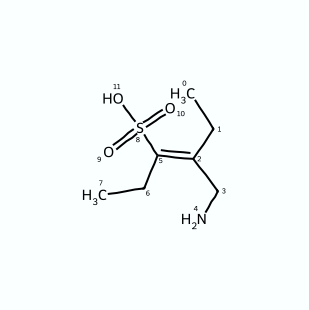 CCC(CN)=C(CC)S(=O)(=O)O